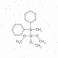 CO[Si](OC)(OC)[Si](C)(c1ccccc1)c1ccccc1